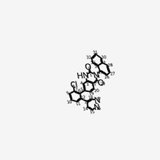 O=c1[nH]c2cc(-c3c(Cl)cccc3-c3ccnnc3)ccc2c(=O)n1-c1cccc2ccccc12